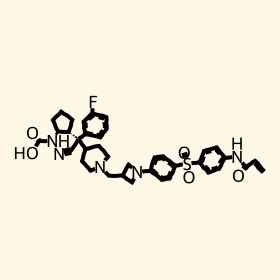 C=CC(=O)Nc1ccc(S(=O)(=O)c2ccc(N3CC(CN4CCC(C(C#N)(c5cccc(F)c5)[C@H]5CCC[C@@H]5NC(=O)O)CC4)C3)cc2)cc1